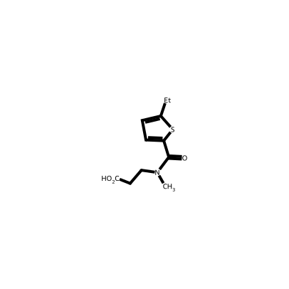 CCc1ccc(C(=O)N(C)CCC(=O)O)s1